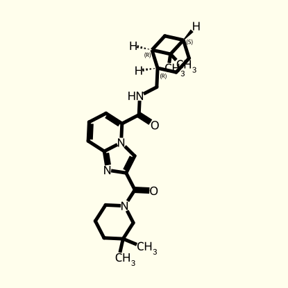 CC1(C)CCCN(C(=O)c2cn3c(C(=O)NC[C@@H]4CC[C@H]5C[C@H]4C5(C)C)cccc3n2)C1